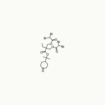 CCC(COC(=O)C(Br)Br)(COC(=O)C(Br)Br)C(=O)OC(C)(C)C1CCNCC1